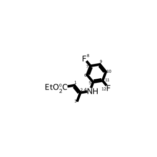 CCOC(=O)C=C(C)Nc1cc(F)ccc1F